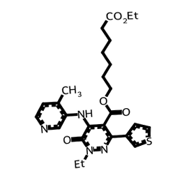 CCOC(=O)CCCCCCOC(=O)c1c(-c2ccsc2)nn(CC)c(=O)c1Nc1cnccc1C